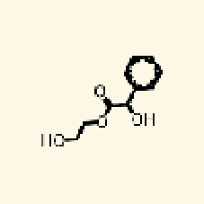 O=C(OCCO)C(O)c1ccccc1